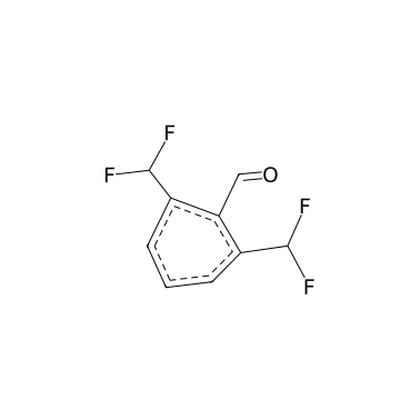 O=Cc1c(C(F)F)cccc1C(F)F